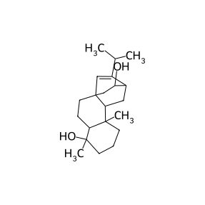 CC(C)C1=CC23CCC4C(C)(O)CCCC4(C)C2CC1C(O)C3